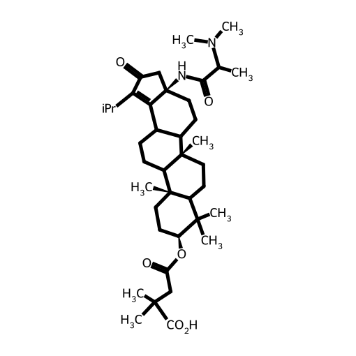 CC(C)C1=C2C3CCC4[C@@](C)(CCC5C(C)(C)[C@@H](OC(=O)CC(C)(C)C(=O)O)CC[C@@]54C)C3CC[C@@]2(NC(=O)C(C)N(C)C)CC1=O